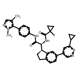 Cc1cnn(C)c1-c1ccc(NC(=O)[C@@H](NC(=O)C2(F)CC2)[C@@H]2CCc3ccc(-c4cnnc(C5CC5)c4)cc32)cc1